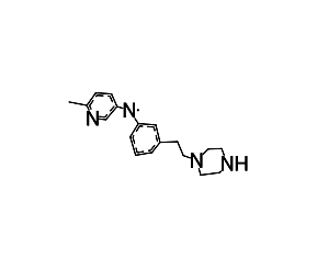 Cc1ccc([N]c2cccc(CCN3CCNCC3)c2)cn1